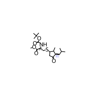 COC(=O)[C@H](CSC1CC(=O)/C(=C/C(C)C)C1C)NC(=O)OC(C)(C)C